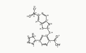 O=C(O)c1ccc(-c2nnn[nH]2)cc1Sc1nc2ccc([N+](=O)[O-])cc2s1